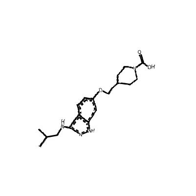 CC(C)CNc1n[nH]c2cc(OCC3CCN(C(=O)O)CC3)ccc12